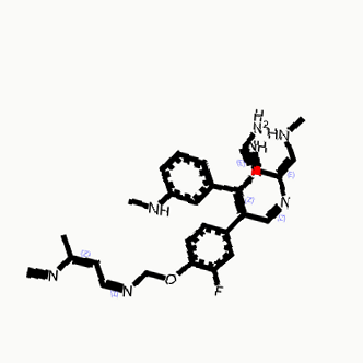 C=N/C(C)=C\C=N/COc1ccc(C(/C=N\C(C=N)=C\NC)=C(/N=C/N)c2cccc(NC)c2)cc1F